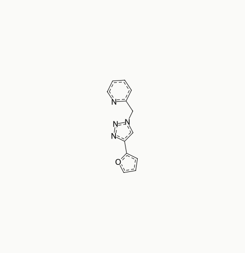 c1ccc(Cn2cc(-c3ccco3)nn2)nc1